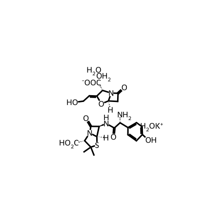 CC1(C)S[C@@H]2[C@H](NC(=O)[C@H](N)c3ccc(O)cc3)C(=O)N2[C@H]1C(=O)O.O.O.O.O=C([O-])[C@H]1/C(=C/CO)O[C@@H]2CC(=O)N21.[K+]